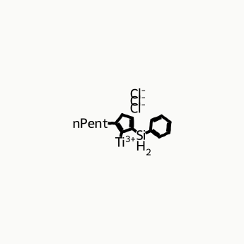 CCCCCC1=[C]([Ti+3])C([SiH2]c2ccccc2)=CC1.[Cl-].[Cl-].[Cl-]